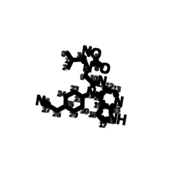 CC(C)c1noc(=O)n1Cc1nc2cnc3[nH]ccc3c2n1C1CCC(CC#N)CC1